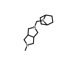 CN1CC2CN(CN3C4CCC3CC4)CC2C1